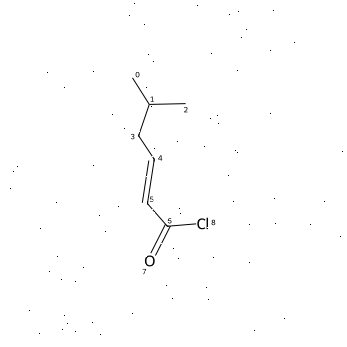 CC(C)C/C=C/C(=O)Cl